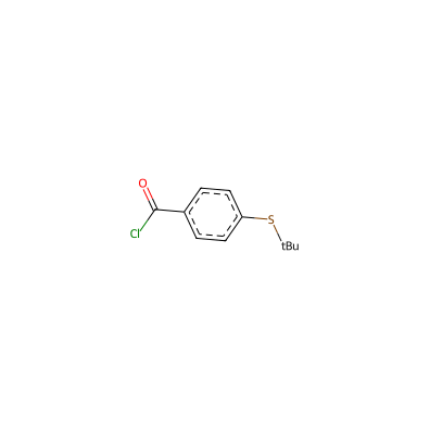 CC(C)(C)Sc1ccc(C(=O)Cl)cc1